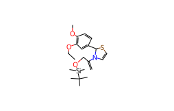 C=C(CO[Si](C)(C)C(C)(C)C)N1C=CSC1c1ccc(OC)c(OCC)c1